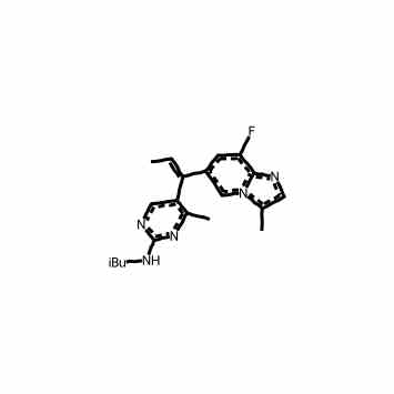 C/C=C(/c1cc(F)c2ncc(C)n2c1)c1cnc(NC(C)CC)nc1C